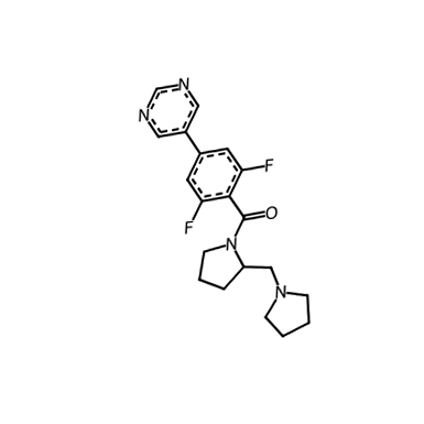 O=C(c1c(F)cc(-c2cncnc2)cc1F)N1CCCC1CN1CCCC1